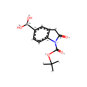 CC(C)(C)OC(=O)N1C(=O)Cc2cc(B(O)O)ccc21